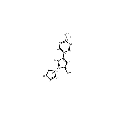 CC(C)n1nc(-c2ccc(C(F)(F)F)cc2)nc1[C@@H]1C=CCC1